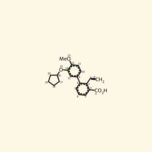 C=Cc1c(C(=O)O)cccc1-c1ccc(OC)c(OC2CCCC2)c1